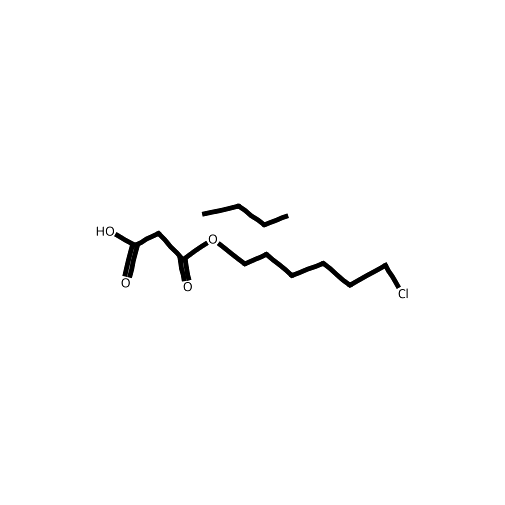 CCCC.O=C(O)CC(=O)OCCCCCCCl